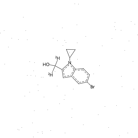 [2H]C([2H])(O)c1cc2cc(Br)ccc2n1C1CC1